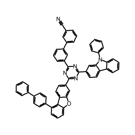 N#Cc1cccc(-c2cccc(-c3nc(-c4ccc5c(c4)oc4cccc(-c6ccc(-c7ccccc7)cc6)c45)nc(-c4ccc5c6ccccc6n(-c6ccccc6)c5c4)n3)c2)c1